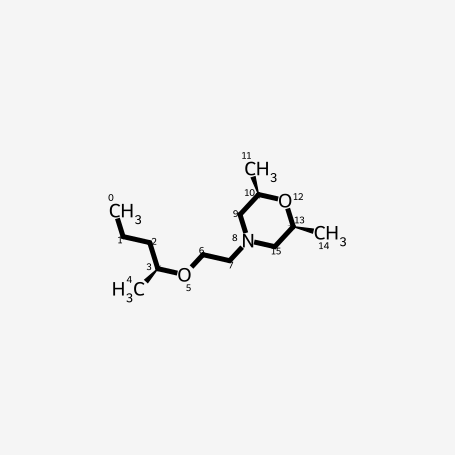 CCC[C@H](C)OCCN1C[C@@H](C)O[C@@H](C)C1